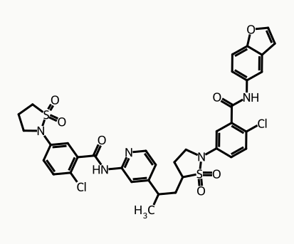 CC(CC1CCN(c2ccc(Cl)c(C(=O)Nc3ccc4occc4c3)c2)S1(=O)=O)c1ccnc(NC(=O)c2cc(N3CCCS3(=O)=O)ccc2Cl)c1